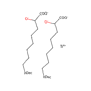 CCCCCCCCCCCCCCCCC([O-])C(=O)[O-].CCCCCCCCCCCCCCCCC([O-])C(=O)[O-].[Ti+4]